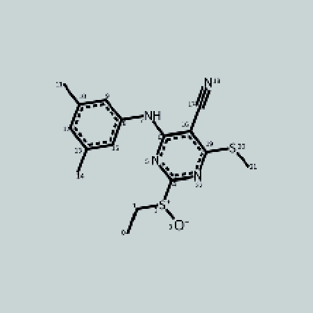 CC[S+]([O-])c1nc(Nc2cc(C)cc(C)c2)c(C#N)c(SC)n1